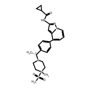 C[C@H](c1ccc(-c2cccn3nc(NC(=O)C4CC4)cc23)cc1)N1CC[N+](C)(S(C)(=O)=O)CC1